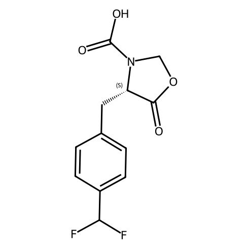 O=C1OCN(C(=O)O)[C@H]1Cc1ccc(C(F)F)cc1